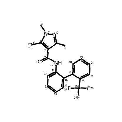 Cc1nn(C)c(Cl)c1C(=O)Nc1ccccc1-c1ccccc1C(F)(F)F